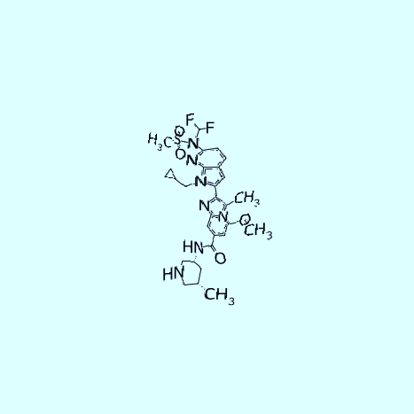 COc1cc(C(=O)N[C@H]2CNC[C@@H](C)C2)cc2nc(-c3cc4ccc(N(C(F)F)S(C)(=O)=O)nc4n3CC3CC3)c(C)n12